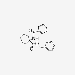 O=C(NC1(C(=O)OCc2ccccc2)CCCCC1)c1ccccc1